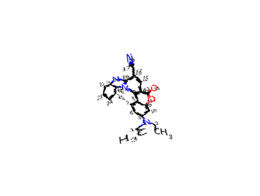 CCN(CC)c1ccc2c(c1)oc(=O)c1cc(C#N)c3nc4ccccc4n3c12